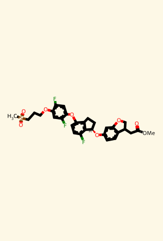 COC(=O)CC1COc2cc(O[C@@H]3CCc4c(Oc5cc(F)c(OCCCS(C)(=O)=O)cc5F)ccc(F)c43)ccc21